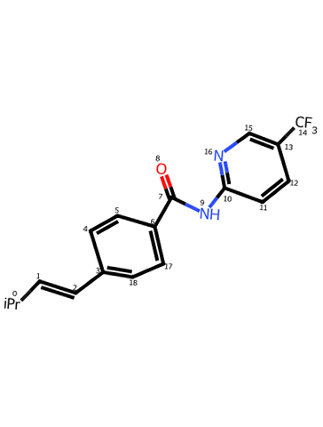 CC(C)/C=C/c1ccc(C(=O)Nc2ccc(C(F)(F)F)cn2)cc1